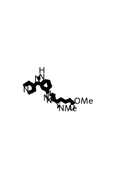 CNC[C@@H](CCCC(=O)OC)c1cn(-c2ccc3[nH]nc(-c4ccncc4)c3c2)nn1